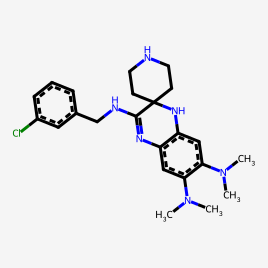 CN(C)c1cc2c(cc1N(C)C)NC1(CCNCC1)C(NCc1cccc(Cl)c1)=N2